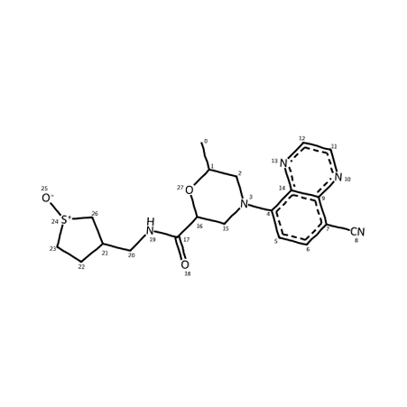 CC1CN(c2ccc(C#N)c3nccnc23)CC(C(=O)NCC2CC[S+]([O-])C2)O1